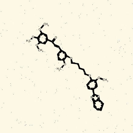 COc1cc(-c2nc3ccccc3s2)ccc1OCCCCCOc1cc(/C=C/C(=O)c2cc(OC)c(OC)c(OC)c2)ccc1OC